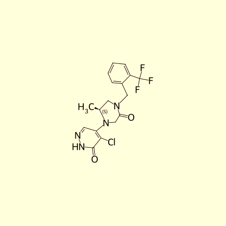 C[C@H]1CN(Cc2ccccc2C(F)(F)F)C(=O)CN1c1cn[nH]c(=O)c1Cl